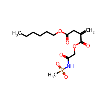 C=C(CC(=O)OCCCCCC)C(=O)OCC(=O)NS(C)(=O)=O